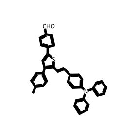 Cc1ccc(-c2cc(-c3ccc(C=O)cc3)sc2/C=C/c2ccc(N(c3ccccc3)c3ccccc3)cc2)cc1